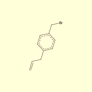 C=CCc1ccc(CBr)cc1